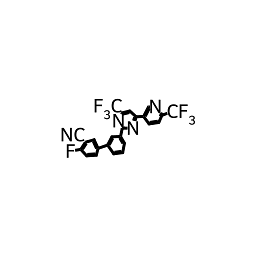 N#Cc1cc(-c2cccc(-c3nc(-c4ccc(C(F)(F)F)nc4)cc(C(F)(F)F)n3)c2)ccc1F